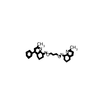 Cc1ccc2c(n1)/C(=N/OCCCO/N=C1\CCCc3c(-c4ccccc4)cc(C)nc31)CCC2